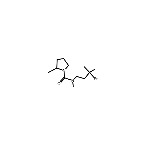 CCC(C)(C)CCN(C)C(=O)N1CCCC1C